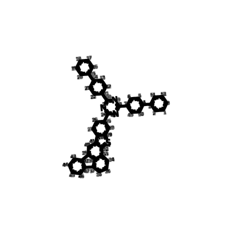 c1ccc(-c2ccc(-c3nc(-c4ccc(-c5ccccc5)cc4)nc(-c4ccc5c(c4)sc4c6cccc7c6c(cc54)-c4ccccc4-7)n3)cc2)cc1